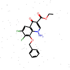 CCOC(=O)c1cn(N)c2c(OCc3ccccc3)c(F)c(F)cc2c1=O